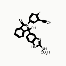 C#Cc1cc(N2C(=O)c3ccccc3C2(O)c2ccc3[nH]c(NC(=O)O)nc3c2)ccc1F